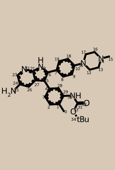 Cc1ccc(-c2c(-c3ccc(N4CCN(C)CC4)cc3)[nH]c3ncc(N)cc23)cc1NC(=O)OC(C)(C)C